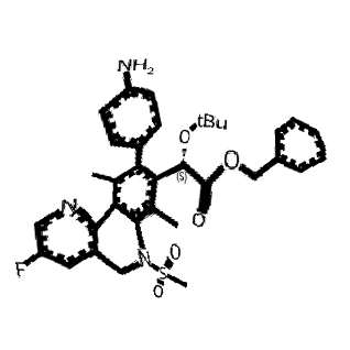 Cc1c(-c2ccc(N)cc2)c([C@H](OC(C)(C)C)C(=O)OCc2ccccc2)c(C)c2c1-c1ncc(F)cc1CN2S(C)(=O)=O